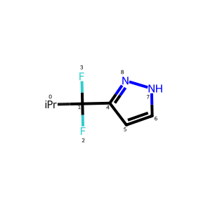 CC(C)C(F)(F)c1cc[nH]n1